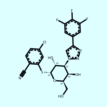 N#Cc1ccc(Cl)cc1S[C@H]1O[C@H](CO)[C@H](O)[C@H](n2cc(-c3cc(F)c(F)c(F)c3)nn2)[C@H]1O